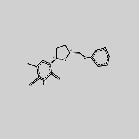 Cc1cn([C@H]2CC[C@@H](COc3ccccc3)O2)c(=O)[nH]c1=O